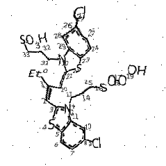 CCC(=Cc1sc2ccc(Cl)cc2[n+]1CCCSOOO)C=C1Sc2ccc(Cl)cc2N1CCCS(=O)(=O)O